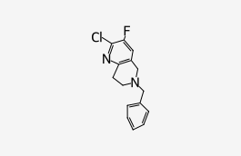 Fc1cc2c(nc1Cl)CCN(Cc1ccccc1)C2